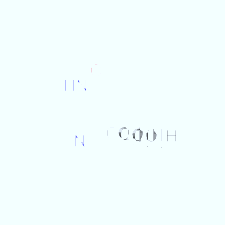 CC(=O)O.CC(=O)O.CC(=O)O.ONCCN1CC1